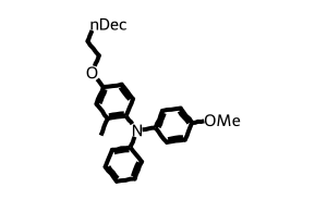 CCCCCCCCCCCCOc1ccc(N(c2ccccc2)c2ccc(OC)cc2)c(C)c1